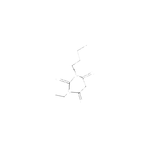 CCCCN1C(=O)CC(=O)N(CC)C1=O